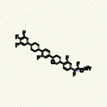 CCCO/C(F)=C(\F)c1ccc(C2CCC(c3ccc(C4CCC(c5cc(F)c(F)c(F)c5)CC4)c(F)c3)OC2)c(F)c1